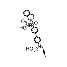 CC#CCN(C(=O)O)c1ccc(-c2ccc(S(=O)(=O)N3CCc4ccccc4[C@H]3C(=O)NO)cc2)cc1